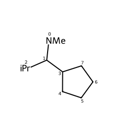 CNC(C(C)C)C1CCCC1